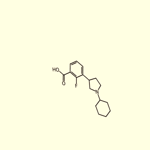 O=C(O)c1cccc(C2CCN(C3CCCCC3)C2)c1F